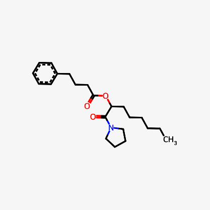 CCCCCCC(OC(=O)CCCc1ccccc1)C(=O)N1CCCC1